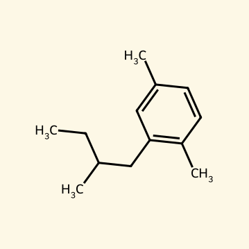 CCC(C)Cc1cc(C)ccc1C